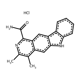 Cc1nc(C(N)=O)c2cc3c(cc2c1C)[nH]c1ccccc13.Cl